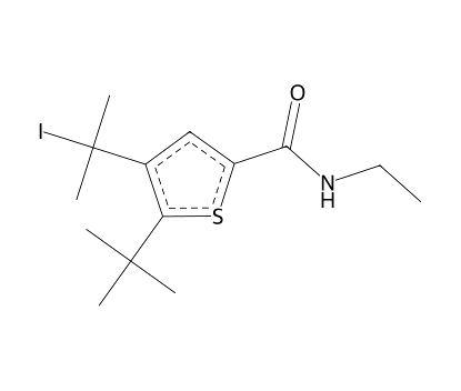 CCNC(=O)c1cc(C(C)(C)I)c(C(C)(C)C)s1